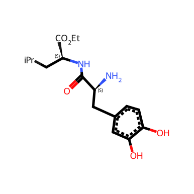 CCOC(=O)[C@H](CC(C)C)NC(=O)[C@@H](N)Cc1ccc(O)c(O)c1